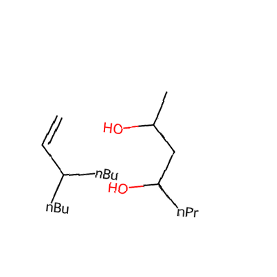 C=CC(CCCC)CCCC.CCCC(O)CC(C)O